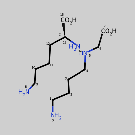 NCCCCNCC(=O)O.NCCCC[C@H](N)C(=O)O